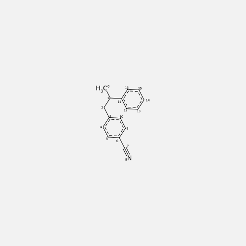 CC(Cc1ccc(C#N)cc1)c1ccccc1